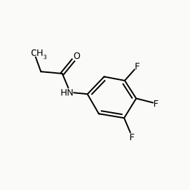 CCC(=O)Nc1cc(F)c(F)c(F)c1